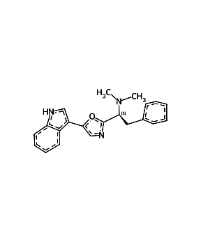 CN(C)[C@@H](Cc1ccccc1)c1ncc(-c2c[nH]c3ccccc23)o1